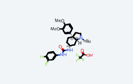 CCCCN1CC[C@]2(c3ccc(OC)c(OC)c3)CC[C@@H](NC(=O)Nc3ccc(F)c(F)c3)C[C@H]12.O=C(O)C(F)(F)F